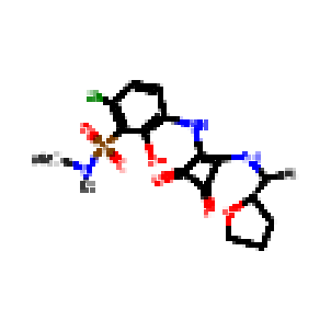 CCC(Nc1c(Nc2ccc(Cl)c(S(=O)(=O)N(CC)OC)c2O)c(=O)c1=O)[C@H]1CCCO1